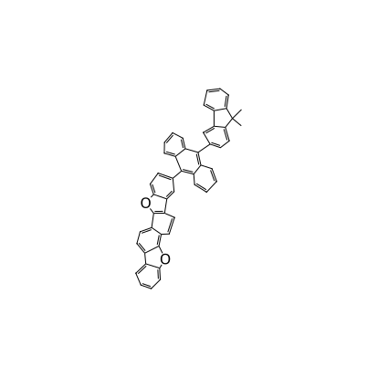 CC1(C)c2ccccc2-c2cc(-c3c4ccccc4c(-c4ccc5oc6c(ccc7c6ccc6c8ccccc8oc67)c5c4)c4ccccc34)ccc21